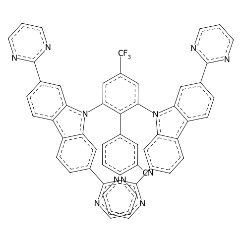 N#Cc1cccc(-c2c(-n3c4cc(-c5ncccn5)ccc4c4ccc(-c5ncccn5)cc43)cc(C(F)(F)F)cc2-n2c3cc(-c4ncccn4)ccc3c3ccc(-c4ncccn4)cc32)c1